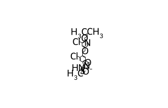 CC(C)COc1ncc(OCc2cc3onc(N[S+](C)[O-])c3cc2Cl)cc1Cl